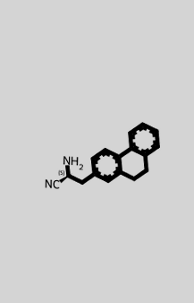 N#C[C@@H](N)Cc1ccc2c(c1)CCc1ccccc1-2